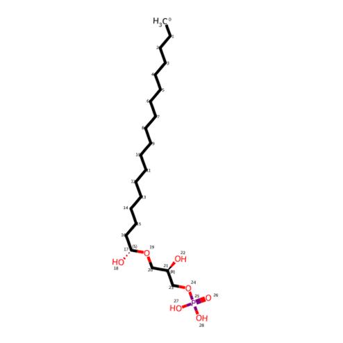 CCCCCCCCCCCCCCCCC[C@@H](O)OC[C@@H](O)COP(=O)(O)O